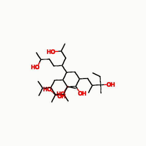 CCC(C)(O)C(C)CC(CC(C(CCC(C)O)CC(C)O)C(CC(C(C)C)C(C)O)C(C)C(C)CO)C(O)CO